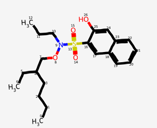 CCCCC(CC)CON(CCC)S(=O)(=O)c1cc2ccccc2cc1O